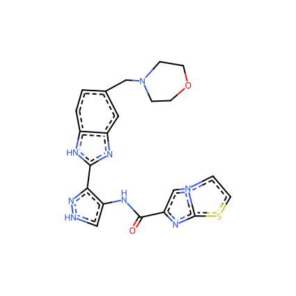 O=C(Nc1c[nH]nc1-c1nc2cc(CN3CCOCC3)ccc2[nH]1)c1cn2ccsc2n1